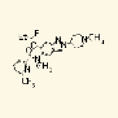 CCC(F)Oc1cc2nn(C3CCN(C)CC3)cc2cc1N(C)C(=O)c1cccc(C(F)(F)F)n1